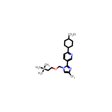 CCOC(=O)C1CCC(c2ccc(-c3nc(C(F)(F)F)cn3COCC[Si](C)(C)C)cn2)CC1